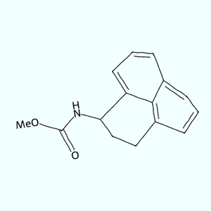 COC(=O)NC1CCc2cccc3cccc1c23